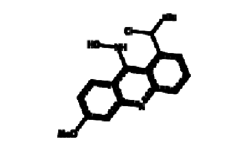 CCCCC(Cl)c1cccc2nc3cc(OC)ccc3c(NO)c12